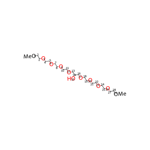 COCCOCCOCCOCCOCC(O)COCCOCCOCCOCCOC